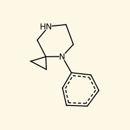 c1ccc(N2CCNCC23CC3)cc1